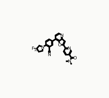 CN(C)C(=O)c1ccc(-c2cc3nccc(-c4ccc(N5CC[C@@H](F)C5)c(C#N)c4)c3o2)nc1